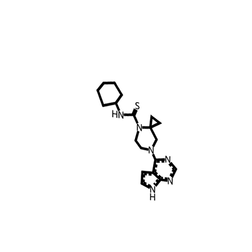 S=C(NC1CCCCC1)N1CCN(c2ncnc3[nH]ccc23)CC12CC2